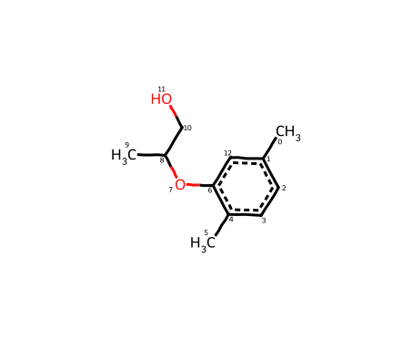 Cc1ccc(C)c(OC(C)CO)c1